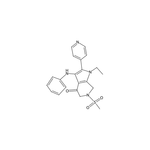 CCn1c2c(c(Nc3ccccc3)c1-c1ccncc1)C(=O)CN(S(C)(=O)=O)C2